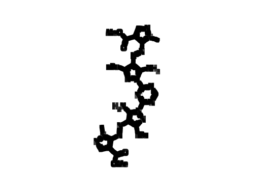 CCCCc1nn(-c2ncnc(-n3nc(CCCC)c(/N=N/c4c(C(=O)OC)cnn4C)c3N)n2)c(N)c1/N=N/c1c(C(=O)OC)cnn1C